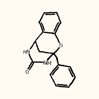 O=C1NC2CC(c3ccccc3)(N1)Oc1ccccc12